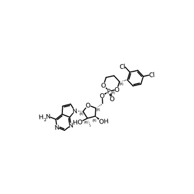 C[C@@]1(O)[C@H](O)[C@@H](CO[P@@]2(=O)OCC[C@H](c3ccc(Cl)cc3Cl)O2)O[C@H]1n1ccc2c(N)ncnc21